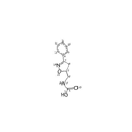 O=C(O)NCC1CC(c2ccccc2)=NO1